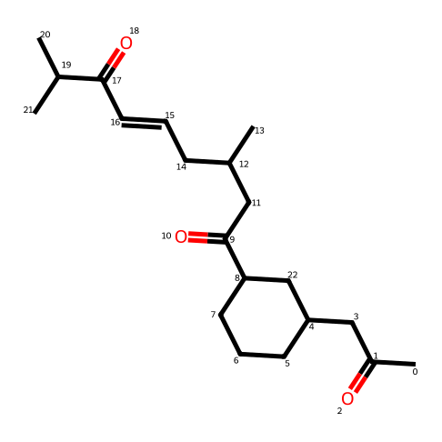 CC(=O)CC1CCCC(C(=O)CC(C)C/C=C/C(=O)C(C)C)C1